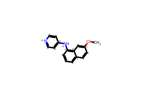 COc1ccc2cccc(Nc3ccncc3)c2c1